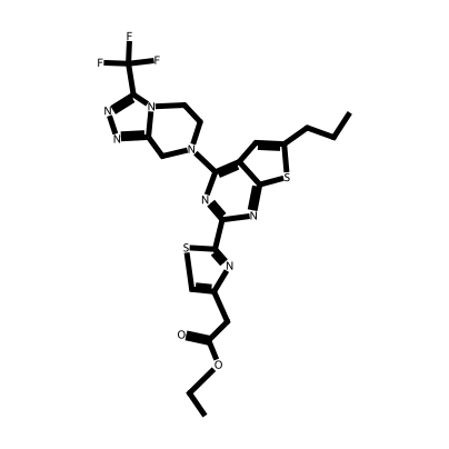 CCCc1cc2c(N3CCn4c(nnc4C(F)(F)F)C3)nc(-c3nc(CC(=O)OCC)cs3)nc2s1